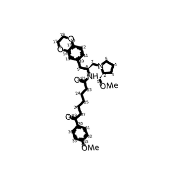 COC[C@H]1CCCN1C[C@H](Cc1ccc2c(c1)OCCO2)NC(=O)CCCCCC(=O)c1ccc(OC)cc1